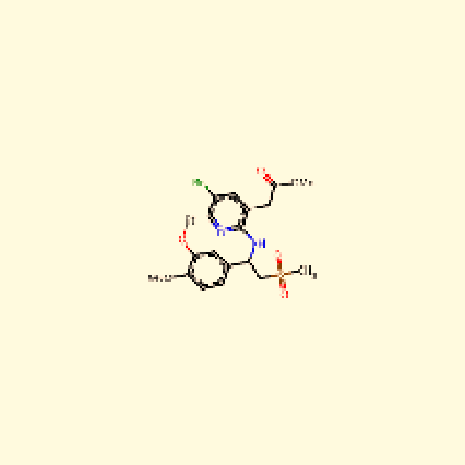 CCOc1cc(C(CS(C)(=O)=O)Nc2ncc(Br)cc2CC(=O)OC)ccc1OC